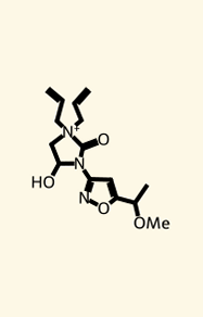 C=CC[N+]1(CC=C)CC(O)N(c2cc(C(C)OC)on2)C1=O